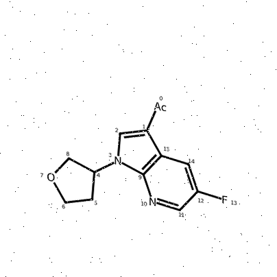 CC(=O)c1cn(C2CCOC2)c2ncc(F)cc12